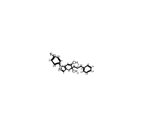 CC1=Cc2c(cnn2-c2ccc(F)cc2)CC1(C)CCCc1ccccc1